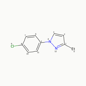 CCc1ccn(-c2ccc(Cl)cc2)n1